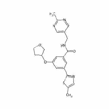 Cc1ncc(CNC(=O)c2cc(OC3CCOC3)cc(-c3ncc(C)s3)c2)cn1